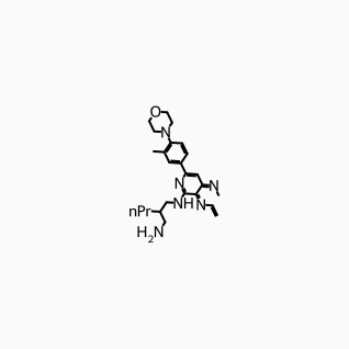 C=C/N=C1/C(NCC(CN)CCC)=NC(c2ccc(N3CCOCC3)c(C)c2)=C/C1=N/C